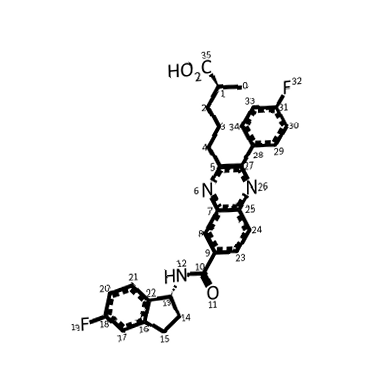 C[C@@H](CCCc1nc2cc(C(=O)N[C@@H]3CCc4cc(F)ccc43)ccc2nc1-c1ccc(F)cc1)C(=O)O